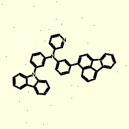 c1cncc(N(c2cccc(-c3ccc4c5c(cccc35)-c3ccccc3-4)c2)c2cccc(-n3c4ccccc4c4ccccc43)c2)c1